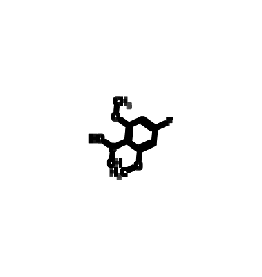 COc1cc(F)cc(OC)c1B(O)O